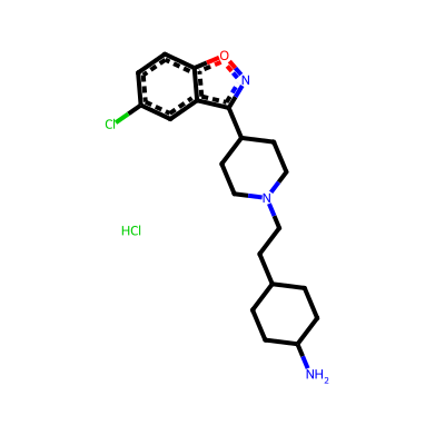 Cl.NC1CCC(CCN2CCC(c3noc4ccc(Cl)cc34)CC2)CC1